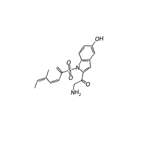 C=C(/C=C\C(C)=C/C)S(=O)(=O)n1c(C(=O)CN)cc2cc(O)ccc21